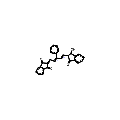 O=C1C(=C/C=C(/C=C/C2C(=O)c3ccccc3C2O)c2ccccc2)C(=O)c2ccccc21